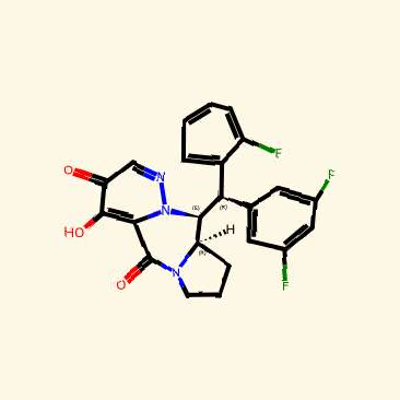 O=C1c2c(O)c(=O)cnn2[C@@H]([C@H](c2cc(F)cc(F)c2)c2ccccc2F)[C@H]2CCCN12